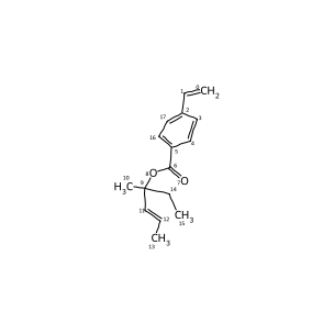 C=Cc1ccc(C(=O)OC(C)(/C=C/C)CC)cc1